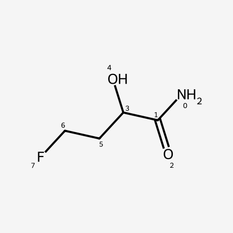 NC(=O)C(O)CCF